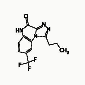 CCCc1nnc2c(=O)[nH]c3ccc(C(F)(F)F)cc3n12